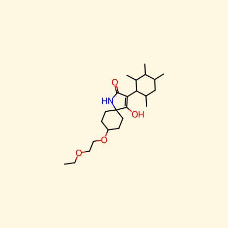 CCOCCOC1CCC2(CC1)NC(=O)C(C1C(C)CC(C)C(C)C1C)=C2O